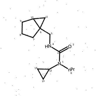 CCCN(C(=O)NCC12CCCC1C2)C1CC1